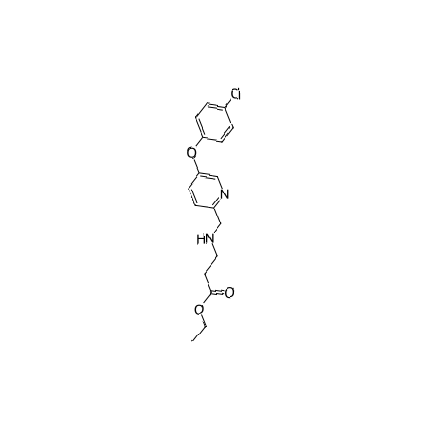 CCOC(=O)CCNCc1ccc(Oc2ccc(Cl)cc2)cn1